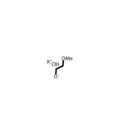 COCC[O-].Cl.[K+]